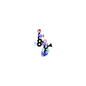 COCCNCc1cc2c3c(ccc(F)c3c1)N(c1cc(C(F)(c3nncn3C)C(F)(F)F)cc(C3CC3)n1)C2=O